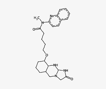 CN(C(=O)CCCCOC1CCCC2CN3CC(=O)NC3NC21)c1ccc2ccccc2n1